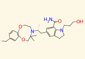 CCc1ccc2c(c1)OCC(C)(C)N([C@H](C)Cc1cc3c(c(C(N)=O)c1)N(CCCO)CC3)CCO2